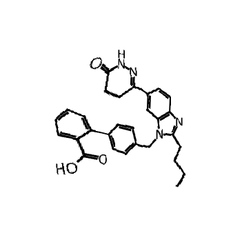 CCCCc1nc2ccc(C3=NNC(=O)CC3)cc2n1Cc1ccc(-c2ccccc2C(=O)O)cc1